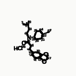 CN(C)CCN(C(=O)CCc1ccc2c(c1)OCO2)[C@H]1CC[C@H](C)CC1.Cl